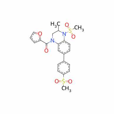 CC1CN(C(=O)c2ccco2)c2cc(-c3ccc(S(C)(=O)=O)cc3)ccc2N1S(C)(=O)=O